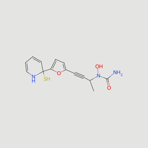 CC(C#Cc1ccc(C2(S)C=CC=CN2)o1)N(O)C(N)=O